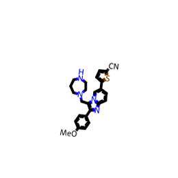 COc1ccc(-c2nc3ccc(-c4ccc(C#N)s4)cn3c2CN2CCCNCC2)cc1